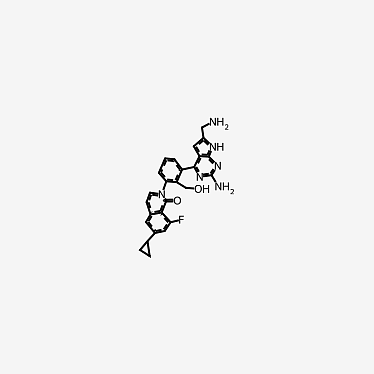 NCc1cc2c(-c3cccc(-n4ccc5cc(C6CC6)cc(F)c5c4=O)c3CO)nc(N)nc2[nH]1